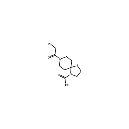 CC(C)CC(=O)N1CCC2(CC1)SCCN2C(=O)C(C)C